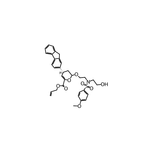 C=CCOC(=O)C1=C[C@H](c2ccc3c(c2)Cc2ccccc2-3)CC(OCCN(CCO)S(=O)(=O)c2ccc(OC)cc2)O1